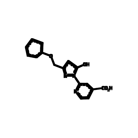 O=C(O)c1ccnc(-n2nc(COc3ccccc3)cc2O)c1